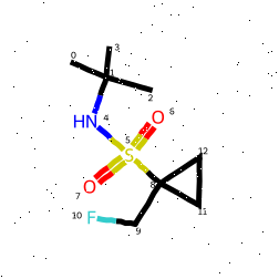 CC(C)(C)NS(=O)(=O)C1(CF)CC1